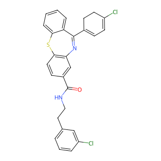 O=C(NCCc1cccc(Cl)c1)c1ccc2c(c1)N=C(C1=CC=C(Cl)CC1)c1ccccc1S2